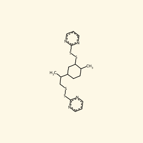 CC(CSSc1ncccn1)C1CCC(C)C(SSc2ncccn2)C1